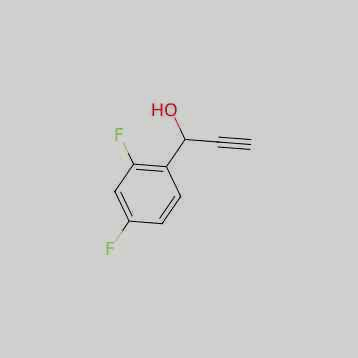 C#CC(O)c1ccc(F)cc1F